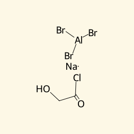 O=C(Cl)CO.[Br][Al]([Br])[Br].[Na]